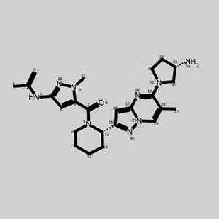 C=C(C)Nc1cc(C(=O)N2CCCC[C@H]2c2cc3nc(N4CC[C@H](N)C4)c(C)cn3n2)n(C)n1